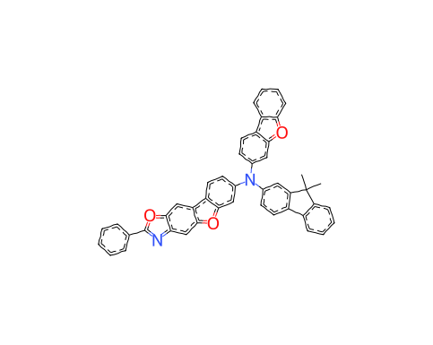 CC1(C)c2ccccc2-c2ccc(N(c3ccc4c(c3)oc3ccccc34)c3ccc4c(c3)oc3cc5nc(-c6ccccc6)oc5cc34)cc21